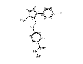 CCCNC(=O)c1cnc(OCc2c(C)nnn2-c2ccc(F)cc2)cn1